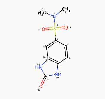 CN(C)S(=O)(=O)c1ccc2[nH]c(=O)[nH]c2c1